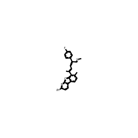 C/N=C/C(=C\C=C(/C)c1c(C)ccc2c1oc1nc(C(C)C)ccc12)c1ccc(F)cc1